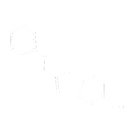 O=C(COc1ccccc1)Oc1ccc(C(=O)O)cc1